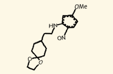 COc1ccc(N=O)c(NCCC2CCC3(CC2)OCCO3)c1